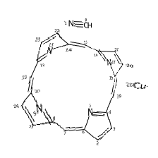 C#N.C1=CC2=NC1=CC1=NC(=CC3=NC(=CC4=NC(=C2)C=C4)C=C3)C=C1.[Cu]